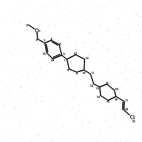 COCc1ccc(C2CCC(CCC3CCC(/C=C/Cl)CC3)CC2)cc1